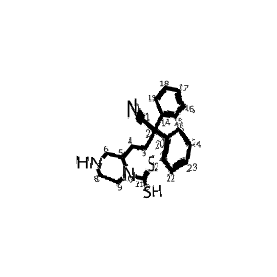 N#CC(CCC1CNCCN1C(=S)S)(c1ccccc1)c1ccccc1